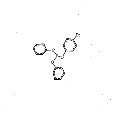 CCc1ccc(OP(Oc2ccccc2)Oc2ccccc2)cc1